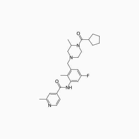 Cc1cc(C(=O)Nc2cc(F)cc(CN3CCN(C(=O)C4CCCC4)C(C)C3)c2C)ccn1